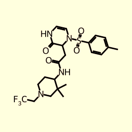 Cc1ccc(S(=O)(=O)N2C=CNC(=O)C2CC(=O)NC2CCN(CC(F)(F)F)CC2(C)C)cc1